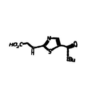 CC(C)(C)C(=O)c1cnc(NCC(=O)O)s1